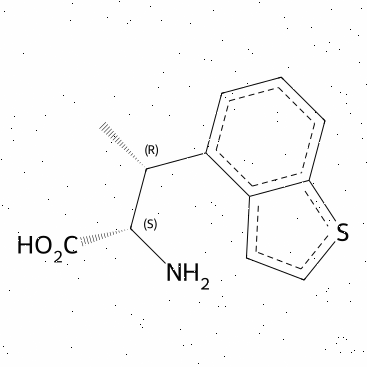 C[C@H](c1cccc2sccc12)[C@H](N)C(=O)O